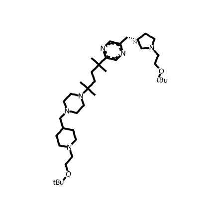 CC(C)(C)OCCN1CCC(CN2CCN(C(C)(C)CCC(C)(C)c3cnc(C[C@@H]4CCN(CCOC(C)(C)C)C4)cn3)CC2)CC1